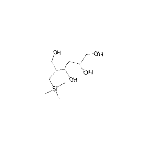 C[Si](C)(C)C[C@H](CO)[C@@H](O)C[C@@H](O)CO